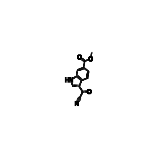 COC(=O)c1ccc2c(C(=O)C#N)c[nH]c2c1